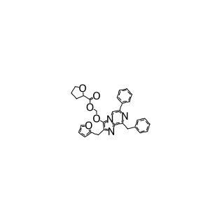 O=C(OCOc1c(Cc2ccco2)nc2c(Cc3ccccc3)nc(-c3ccccc3)cn12)C1CCCO1